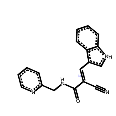 N#C/C(=C\c1c[nH]c2ccccc12)C(=O)NCc1ccccn1